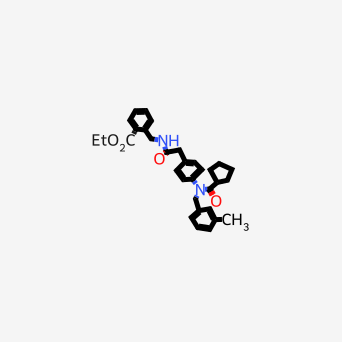 CCOC(=O)c1ccccc1CNC(=O)Cc1ccc(N(Cc2cccc(C)c2)C(=O)C2CCCC2)cc1